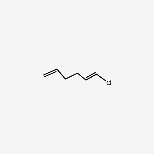 C=CCCC=CCl